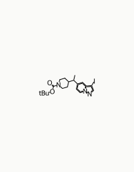 CC(c1ccn2ncc(I)c2c1)C1CCN(C(=O)OC(C)(C)C)CC1